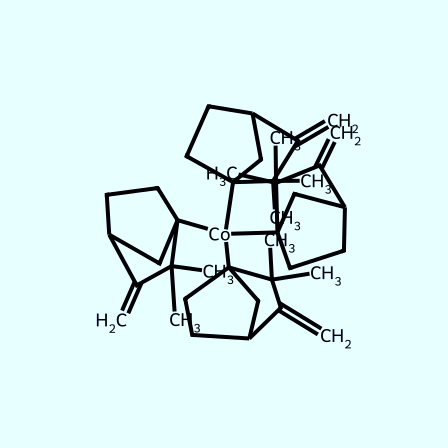 C=C1C2CC[C]([Co]([C]34CCC(C3)C(=C)C4(C)C)([C]34CCC(C3)C(=C)C4(C)C)[C]34CCC(C3)C(=C)C4(C)C)(C2)C1(C)C